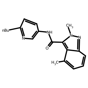 CCCCc1ccc(NC(=O)c2c3c(C)cccc3nn2C)cn1